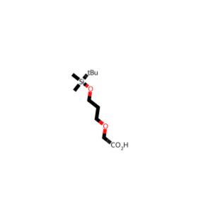 CC(C)(C)[Si](C)(C)OCCCOCC(=O)O